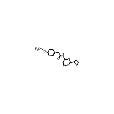 O=C(Cc1ccc(OCC(F)(F)F)cc1)Nc1ccnc(C2CCC2)n1